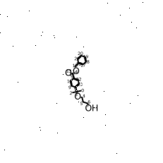 CC(C)(OCCCO)c1ccc(C(=O)OCc2ccccc2)cc1